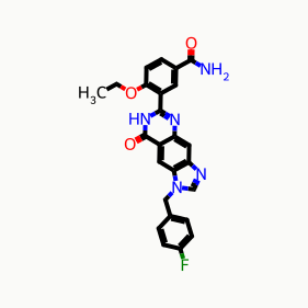 CCOc1ccc(C(N)=O)cc1-c1nc2cc3ncn(Cc4ccc(F)cc4)c3cc2c(=O)[nH]1